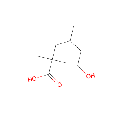 CC(CCO)CC(C)(C)C(=O)O